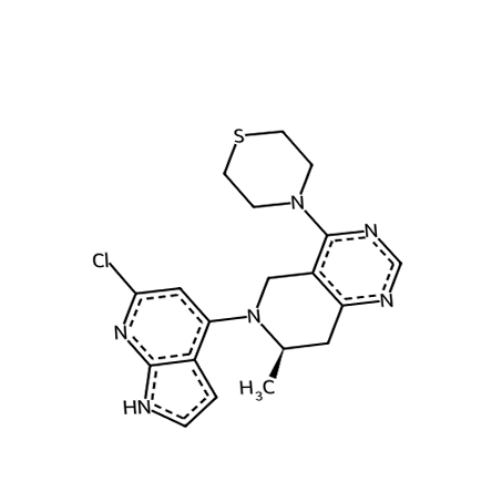 C[C@@H]1Cc2ncnc(N3CCSCC3)c2CN1c1cc(Cl)nc2[nH]ccc12